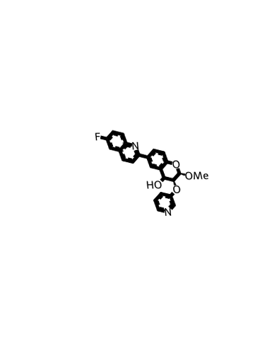 CO[C@@H]1Oc2ccc(-c3ccc4cc(F)ccc4n3)cc2C(O)[C@@H]1Oc1cccnc1